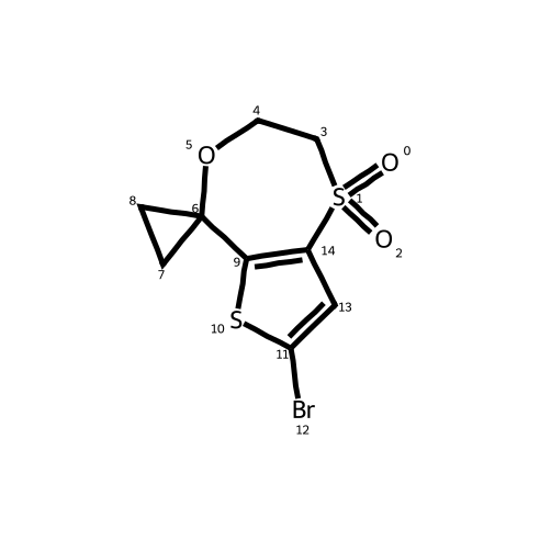 O=S1(=O)CCOC2(CC2)c2sc(Br)cc21